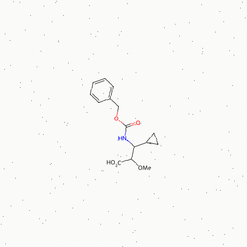 COC(C(=O)O)C(NC(=O)OCc1ccccc1)C1CC1